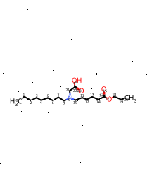 CCCCCCCCCN(CCCCCC(=O)OCCC)CC(=O)O